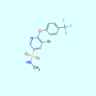 CNS(=O)(=O)c1cnc(Oc2ccc(C(F)(F)F)cc2)c(Br)c1